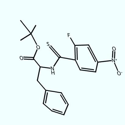 CC(C)(C)OC(=O)C(Cc1ccccc1)NC(=S)c1ccc([N+](=O)[O-])cc1F